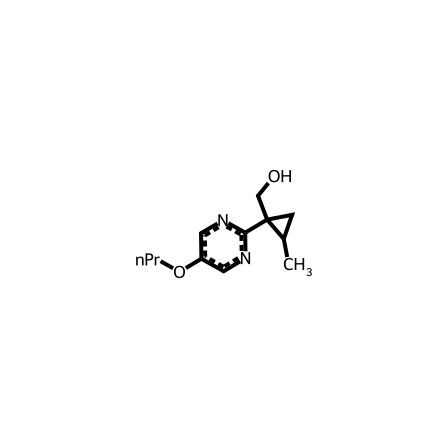 CCCOc1cnc(C2(CO)CC2C)nc1